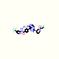 Nc1nccn2c([C@@H]3CCCN(C(=O)CC(F)(F)F)C3)nc(-c3ccc(C(=O)Nc4cc(C(F)(F)F)ccn4)cc3)c12